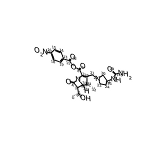 C[C@@H](O)C1C(=O)N2C(C(=O)OC(=O)c3ccc([N+](=O)[O-])cc3)=C(CN3CC[C@H](NC(N)=O)C3)[C@H](C)[C@H]12